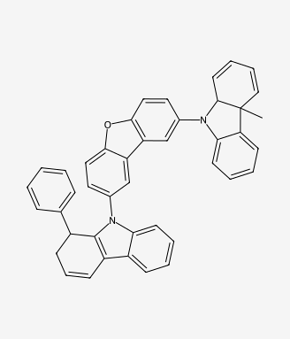 CC12C=CC=CC1N(c1ccc3oc4ccc(-n5c6c(c7ccccc75)C=CCC6c5ccccc5)cc4c3c1)c1ccccc12